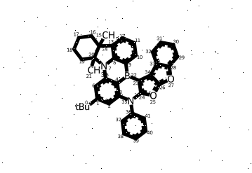 CC(C)(C)c1cc2c3c(c1)N1c4c(cccc4C4(C)CCCCC14C)B3c1c(oc3oc4ccccc4c13)N2c1ccccc1